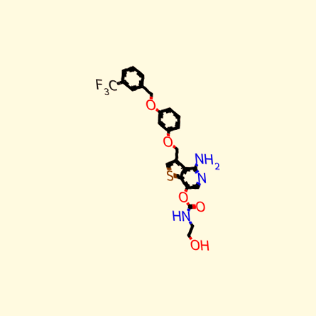 Nc1ncc(OC(=O)NCCO)c2scc(COc3cccc(OCc4cccc(C(F)(F)F)c4)c3)c12